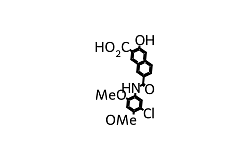 COc1cc(OC)c(NC(=O)c2ccc3cc(O)c(C(=O)O)cc3c2)cc1Cl